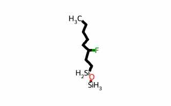 CCCCCC(F)CC[SiH2]O[SiH3]